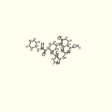 Cc1nc(Sc2nccn2C)nc2c1ccc(=O)n2-c1ccc(C(=O)NCc2ccccc2)cc1